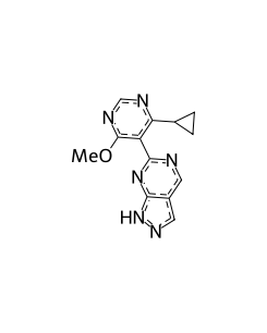 COc1ncnc(C2CC2)c1-c1ncc2cn[nH]c2n1